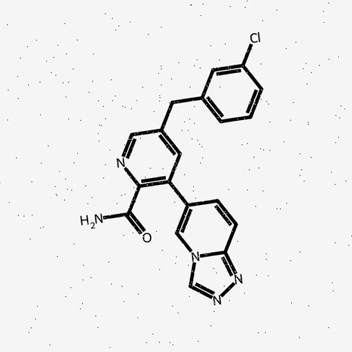 NC(=O)c1ncc(Cc2cccc(Cl)c2)cc1-c1ccc2nncn2c1